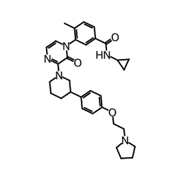 Cc1ccc(C(=O)NC2CC2)cc1-n1ccnc(N2CCCC(c3ccc(OCCN4CCCC4)cc3)C2)c1=O